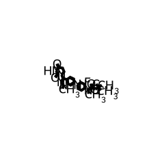 CN(C(=O)OC(C)(C)C)[C@H]1CCN(c2ccc3c(N4CCC(=O)NC4=O)nn(C)c3c2)C[C@H]1F